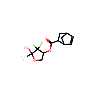 O=C(OC1COC(O)(C(F)(F)F)C1(F)F)C1CC2C=CC1C2